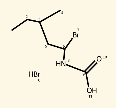 Br.CCC(C)CC(Br)NC(=O)O